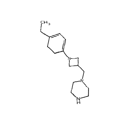 CCC1=CC=C(N2CC(CN3CCNCC3)C2)CC1